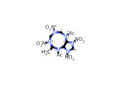 CC(=O)N1CN([N+](=O)[O-])CN([N+](=O)[O-])C(C)N(C(C)=O)C2C1N([N+](=O)[O-])CN2[N+](=O)[O-]